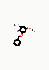 Cc1cc(OC(F)(F)F)cc(OCc2ccccc2)c1I